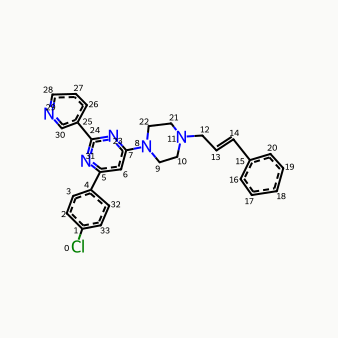 Clc1ccc(-c2cc(N3CCN(CC=Cc4ccccc4)CC3)nc(-c3cccnc3)n2)cc1